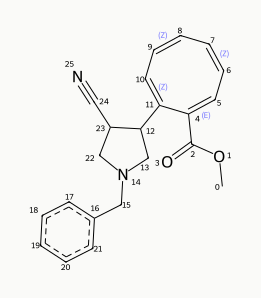 COC(=O)C1=C/C=C\C=C/C=C\1C1CN(Cc2ccccc2)CC1C#N